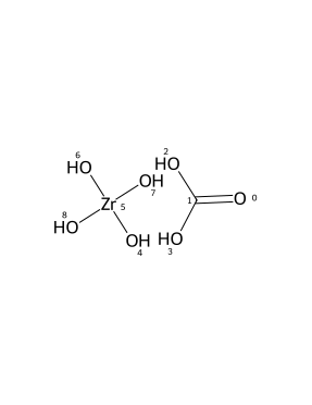 O=C(O)O.[OH][Zr]([OH])([OH])[OH]